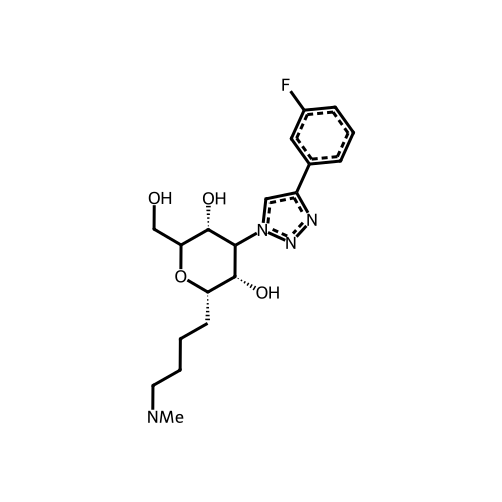 CNCCCC[C@@H]1OC(CO)[C@H](O)C(n2cc(-c3cccc(F)c3)nn2)[C@@H]1O